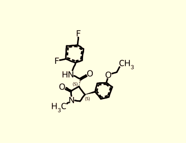 CCOc1cccc([C@H]2CN(C)C(=O)[C@@H]2C(=O)Nc2ccc(F)cc2F)c1